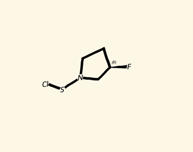 F[C@@H]1CCN(SCl)C1